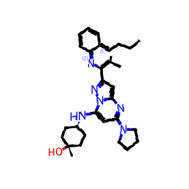 CCC/C=C1\C=CC=C\C1=N\C(=C(C)C)c1cc2nc(N3CCCC3)cc(N[C@H]3CC[C@@](C)(O)CC3)n2n1